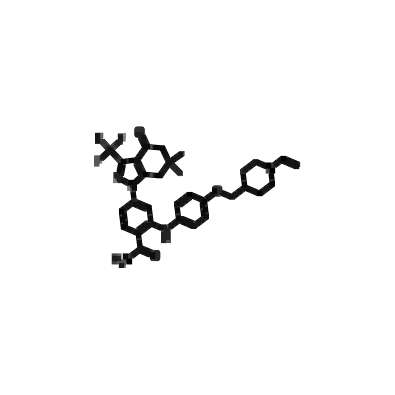 C=CN1CCC(COc2ccc(Nc3cc(-n4nc(C(F)(F)F)c5c4CC(C)(C)CC5=O)ccc3C(N)=O)cc2)CC1